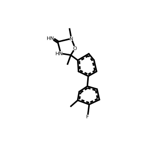 Cc1cc(-c2cccc(C3(C)NC(=N)N(C)O3)c2)ccc1F